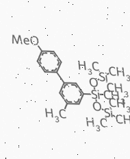 COc1ccc(-c2cc(C)cc([Si](C)(O[Si](C)(C)C)O[Si](C)(C)C)c2)cc1